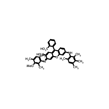 COc1c(C)cc(C)c(/N=c2/cc3oc4cc(Nc5c(C)cc(C)c(C)c5C)ccc4c(-c4ccccc4S(=O)(=O)O)c-3cc2S(=O)(=O)O)c1C